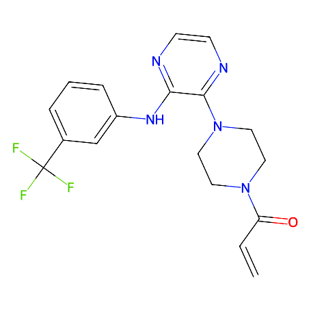 C=CC(=O)N1CCN(c2nccnc2Nc2cccc(C(F)(F)F)c2)CC1